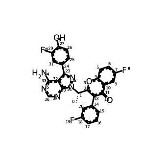 C[C@@H](c1oc2ccc(F)cc2c(=O)c1-c1cccc(F)c1)n1nc(-c2ccc(O)c(F)c2)c2c(N)ncnc21